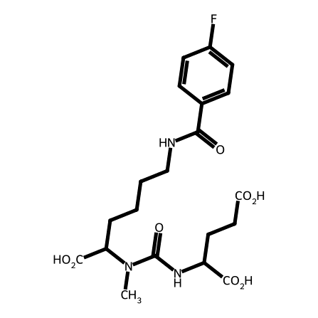 CN(C(=O)NC(CCC(=O)O)C(=O)O)C(CCCCNC(=O)c1ccc(F)cc1)C(=O)O